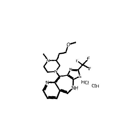 COCCC1CN(C2=c3ncccc3=CNc3sc(C(F)(F)F)nc32)CCN1C.Cl.Cl